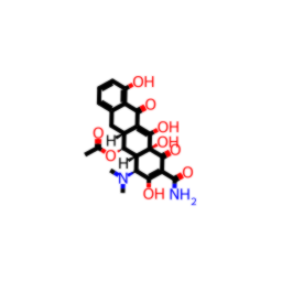 CC(=O)O[C@H]1[C@H]2[C@H](N(C)C)C(O)=C(C(N)=O)C(=O)[C@@]2(O)C(O)=C2C(=O)c3c(O)cccc3C[C@H]21